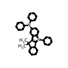 CC1(C)c2ccccc2-c2c1c1cc(N(c3ccccc3)c3ccccc3)ccc1n2-c1ccccc1